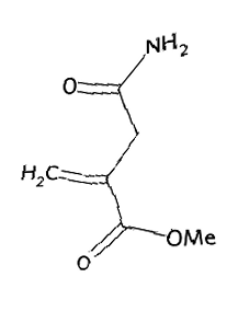 C=C(CC(N)=O)C(=O)OC